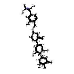 C/C(F)=C(\F)c1ccc(CCc2ccc(-c3cc(F)c(-c4cc(F)c(F)c(F)c4)c(F)c3)c(F)c2)c(F)c1